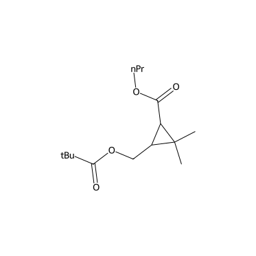 CCCOC(=O)C1C(COC(=O)C(C)(C)C)C1(C)C